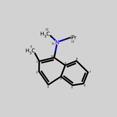 Cc1ccc2ccccc2c1N(C)C(C)C